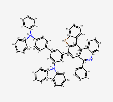 c1ccc(-c2nc3ccccc3c3c2cc(-c2cc(-c4ccc5c(c4)c4ccccc4n5-c4ccccc4)cc(-n4c5ccccc5c5ccccc54)c2)c2sc4ccccc4c23)cc1